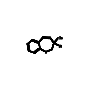 CCCCC1(CC)C=Cc2ccccc2SC1